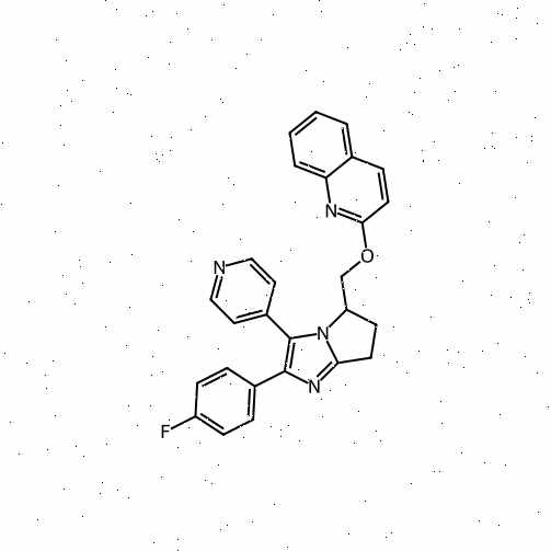 Fc1ccc(-c2nc3n(c2-c2ccncc2)C(COc2ccc4ccccc4n2)CC3)cc1